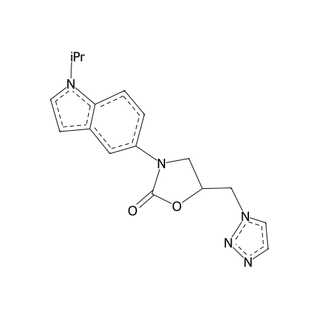 CC(C)n1ccc2cc(N3CC(Cn4ccnn4)OC3=O)ccc21